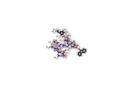 CSC(C)(C)[C@H](NC(=O)[C@H](CC(C)C)NC(=O)[C@@H](NC(=O)[C@H](CC(=O)OC(C)(C)C)NC(=O)[C@H](COC(C)(C)C)NC(=O)[C@H](CCCNC(=N)NS(=O)(=O)c1c(C)c(C)c2c(c1C)CC(C)(C)O2)N(C)C(=O)[C@@H](NC(=O)OCC1c2ccccc2-c2ccccc21)C(C)(C)SC)C(C)OC(C)(C)C)C(=O)O